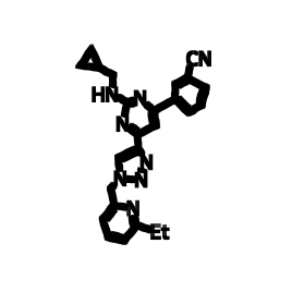 CCc1cccc(Cn2cc(-c3cc(-c4cccc(C#N)c4)nc(NCC4CC4)n3)nn2)n1